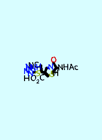 CC(=O)NC1C(=O)N2CC(C(=O)O)(C(CC#N)Sc3nnn[nH]3)CS[C@H]12